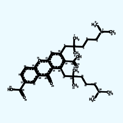 CN(C)CCCC(C)(C)Cc1cc2oc3ccc(C(=O)O)cc3c(=O)c2c(CC(C)(C)CCCN(C)C)c1C(=O)O